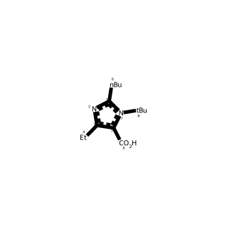 CCCCc1nc(CC)c(C(=O)O)n1C(C)(C)C